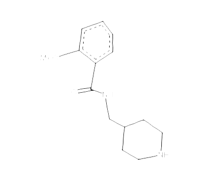 COc1ccccc1C(=O)NCC1CCNCC1